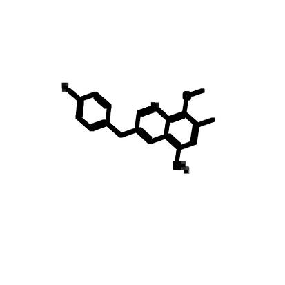 Bc1cc(C)c(OC)c2ncc(Cc3ccc(F)cc3)cc12